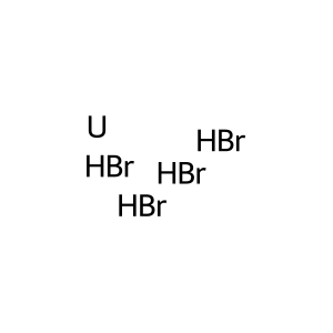 Br.Br.Br.Br.[U]